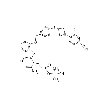 CC(C)(C)OC(=O)CC[C@@H](C(N)=O)N1Cc2c(OCc3ccc(SC4CN(c5ccc(C#N)cc5F)C4)cc3)cccc2C1=O